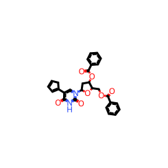 O=C(OCC1OC(n2cc(C3=CC=CC3)c(=O)[nH]c2=O)CC1OC(=O)c1ccccc1)c1ccccc1